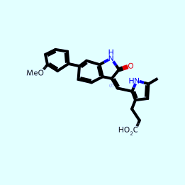 COc1cccc(-c2ccc3c(c2)NC(=O)/C3=C\c2[nH]c(C)cc2CCC(=O)O)c1